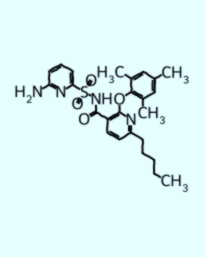 CCCCCc1ccc(C(=O)NS(=O)(=O)c2cccc(N)n2)c(Oc2c(C)cc(C)cc2C)n1